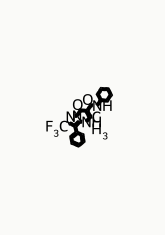 Cc1[nH]c2c(-c3ccccc3)c(C(F)(F)F)nn2c(=O)c1C(=O)NC1CCCCC1